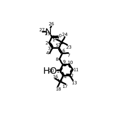 C=C(/C=C(C)\C(=C(\C)Cc1ccc(C)c(C(C)(C)C)c1O)C(C)(C)C)N(C)C